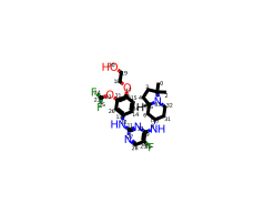 CC1(C)CC[C@H]2C[C@@H](Nc3nc(Nc4ccc(OCCO)c(OC(F)F)c4)ncc3F)CCN21